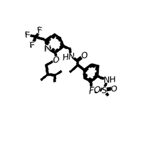 CC(C(=O)NCc1ccc(C(F)(F)F)nc1OCC(C)C(C)C)c1ccc(NS(C)(=O)=O)c(F)c1